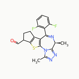 Cc1nnc2n1-c1sc3c(c1C(c1c(F)cccc1F)=N[C@H]2C)CCC3C=O